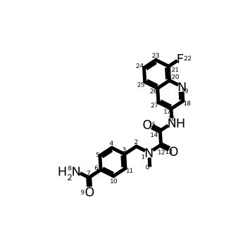 CN(Cc1ccc(C(N)=O)cc1)C(=O)C(=O)Nc1cnc2c(F)cccc2c1